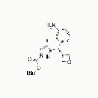 Cc1cn(C(=O)OC(C)(C)C)nc1C(c1cccc(N)c1)C1COC1